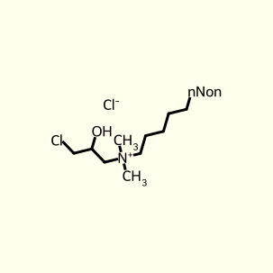 CCCCCCCCCCCCCC[N+](C)(C)CC(O)CCl.[Cl-]